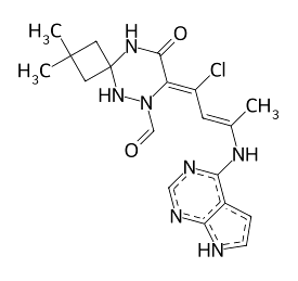 C/C(=C\C(Cl)=C1\C(=O)NC2(CC(C)(C)C2)NN1C=O)Nc1ncnc2[nH]ccc12